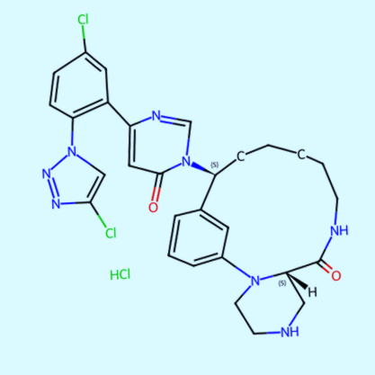 Cl.O=C1NCCCCC[C@H](n2cnc(-c3cc(Cl)ccc3-n3cc(Cl)nn3)cc2=O)c2cccc(c2)N2CCNC[C@@H]12